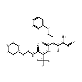 C[C@@H]([C@@H](CCOc1ccccc1)C(=O)NC(C(=O)NCCN1CCOCC1)C(C)(C)C)N(O)C=O